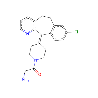 NCC(=O)N1CCC(=C2c3ccc(Cl)cc3CCc3cccnc32)CC1